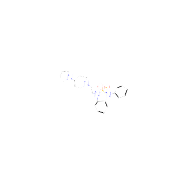 O=S1(=O)N(CCN2CCC(N3CCCC3)CC2)c2ccccc2N1c1ccccc1